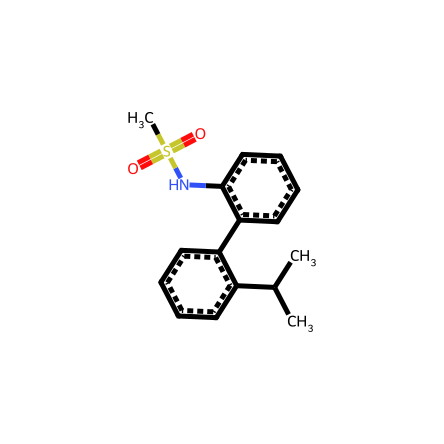 CC(C)c1ccccc1-c1ccccc1NS(C)(=O)=O